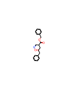 O=C(OCc1ccccc1)C(/C=N\O)CCCc1ccccc1